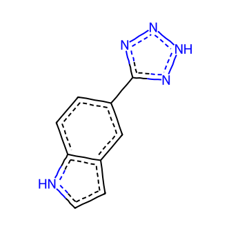 c1cc2cc(-c3nn[nH]n3)ccc2[nH]1